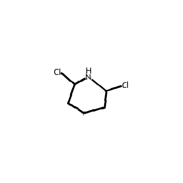 ClC1C[CH]CC(Cl)N1